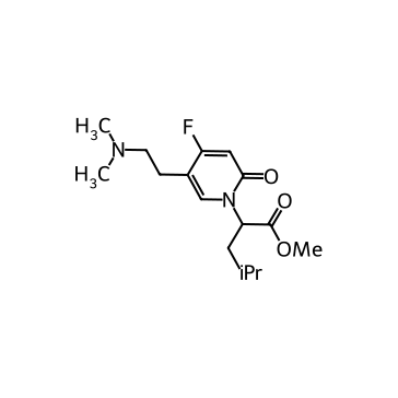 COC(=O)C(CC(C)C)n1cc(CCN(C)C)c(F)cc1=O